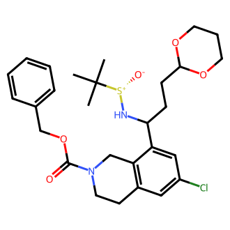 CC(C)(C)[S@+]([O-])NC(CCC1OCCCO1)c1cc(Cl)cc2c1CN(C(=O)OCc1ccccc1)CC2